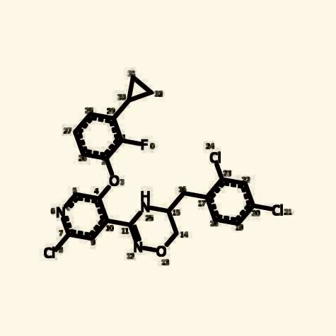 Fc1c(Oc2cnc(Cl)cc2C2=NOCC(Cc3ccc(Cl)cc3Cl)N2)cccc1C1CC1